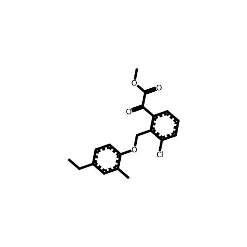 CCc1ccc(OCc2c(Cl)cccc2C(=O)C(=O)OC)c(C)c1